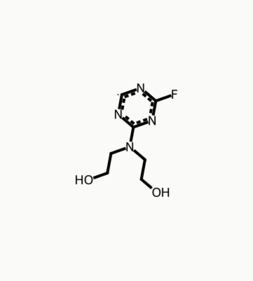 OCCN(CCO)c1n[c]nc(F)n1